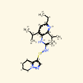 C=C(NSc1cnn2c1CCCC2)Nc1c(C(C)C)cc(CC)nc1C(C)C